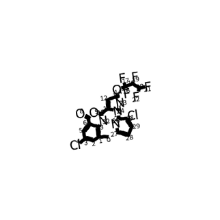 Cc1cc(Cl)cc2c(=O)oc(-c3cc(OC(F)(F)C(F)C(F)F)nn3-c3ncccc3Cl)nc12